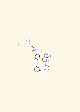 CN(C)C/C=C/C(=O)Nc1ccc(C(=O)Nc2cccc(Nc3ncc(Cl)c(-c4ccc5ccn(C)c5n4)n3)c2)cc1